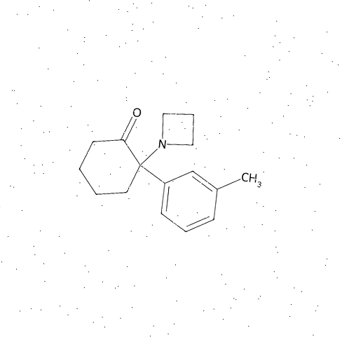 Cc1cccc(C2(N3CCC3)CCCCC2=O)c1